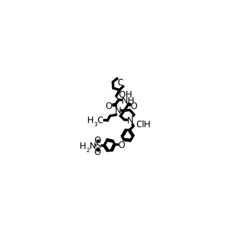 CCCCN1C(=O)[C@@H](CC2(O)CCCCC2)NC(=O)C12CCN(Cc1ccc(Oc3ccc(S(N)(=O)=O)cc3)cc1)CC2.Cl